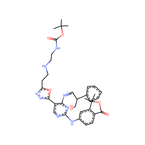 CC(C)(C)OC(=O)NCCNCCc1nnc(-c2cnc(Nc3ccc4c(c3)C(C)(C)OC4=O)nc2/N=C\C(CO)c2ccccc2)o1